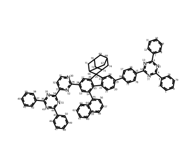 c1ccc(-c2nc(-c3ccccc3)nc(-c3ccc(-c4ccc5c(c4)C4(c6cc(-c7nccc(-c8nc(-c9ccccc9)nc(-c9ccccc9)n8)n7)cc(-c7cccc8ccccc78)c6-5)C5CC6CC(C5)CC4C6)cc3)n2)cc1